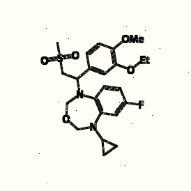 CCOc1cc(C(CS(C)(=O)=O)N2COCN(C3CC3)c3cc(F)ccc32)ccc1OC